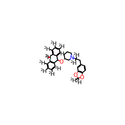 [2H]c1c([2H])c([2H])c(C(O[C@@H]2CCCN(C([2H])([2H])Cc3ccc4c(c3)OC([2H])([2H])O4)C2)c2c([2H])c([2H])c([2H])c([2H])c2[2H])c([2H])c1[2H]